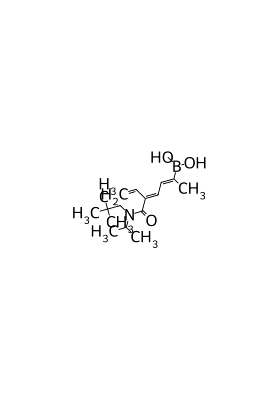 C=C/C(=C\C=C(/C)B(O)O)C(=O)N(CC(C)(C)C)C(C)C